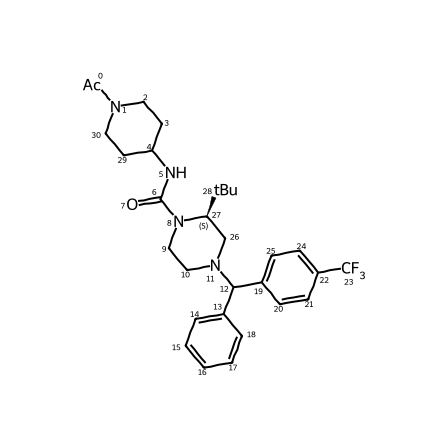 CC(=O)N1CCC(NC(=O)N2CCN(C(c3ccccc3)c3ccc(C(F)(F)F)cc3)C[C@@H]2C(C)(C)C)CC1